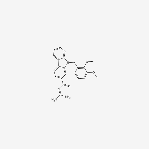 COc1cccc(Cn2c3ccccc3c3ccc(C(=O)N=C(N)N)cc32)c1OC